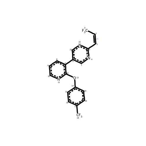 FC(F)(F)/C=C\c1ncc(-c2cccnc2Oc2ccc(C(F)(F)F)cc2)cn1